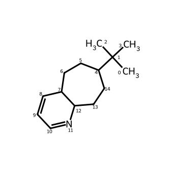 CC(C)(C)C1CCC2C=CC=NC2CC1